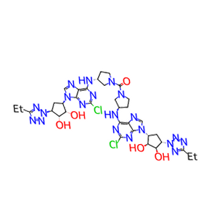 CCc1nnn([C@H]2C[C@@H](n3cnc4c(N[C@@H]5CCN(C(=O)N6CC[C@@H](Nc7nc(Cl)nc8c7ncn8[C@@H]7C[C@H](n8nnc(CC)n8)[C@@H](O)[C@H]7O)C6)C5)nc(Cl)nc43)[C@H](O)[C@@H]2O)n1